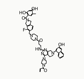 C=CC(=O)N1CCN(c2nc(NCCC(=O)N3CCN(Cc4ccc5c(c4F)CN(C(=O)c4cc(C)c(O)cc4O)C5)CC3)nc3c2CCN(c2cc(O)cc4ccccc24)C3)CC1